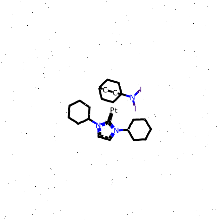 IN(I)C12CCC(CC1)CC2.[Pt]=[c]1n(C2CCCCC2)ccn1C1CCCCC1